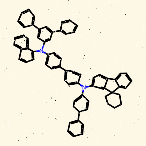 C1=CC(c2ccccc2)CC=C1N(c1ccc(-c2ccc(N(c3cc(-c4ccccc4)cc(-c4ccccc4)c3)c3cccc4ccccc34)cc2)cc1)c1ccc2c(c1)C1(CCCCC1)c1ccccc1-2